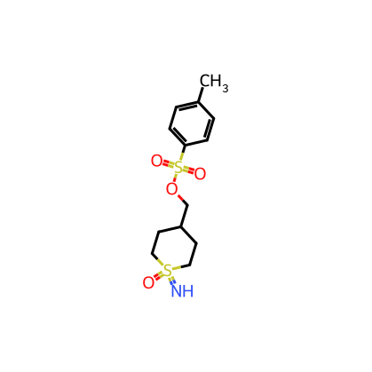 Cc1ccc(S(=O)(=O)OCC2CCS(=N)(=O)CC2)cc1